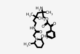 CC1CCCC(C)N1CC(=O)NCCC(C)(C)CC(C)(N)COC(=O)C(=O)c1ccccc1